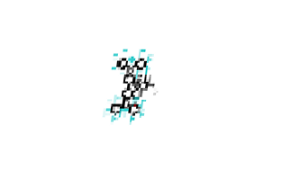 C[Si]1(C)c2cc(B(c3c(F)c(F)c(F)c(F)c3F)c3c(F)c(F)c(F)c(F)c3F)ccc2-c2ccc(B(c3c(F)c(F)c(F)c(F)c3F)c3c(F)c(F)c(F)c(F)c3F)c3cccc1c23